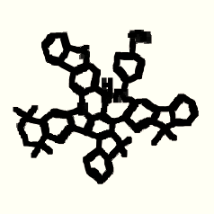 CC(C)(C)c1ccc(Nc2cc3c(cc2-c2c4c(c5c6cc7c(cc6n6c5c2Bc2cc5sc8ccccc8c5cc2-6)C(C)(C)CCC7(C)C)-c2ccccc2C4(C)C)C(C)(C)c2ccccc2-3)cc1